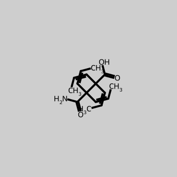 C/C=C\C(/C=C\C)(C(N)=O)C(/C=C\C)(/C=C\C)C(=O)O